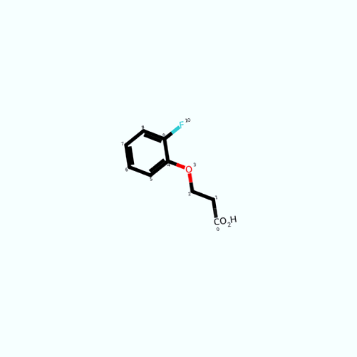 O=C(O)CCOc1ccccc1F